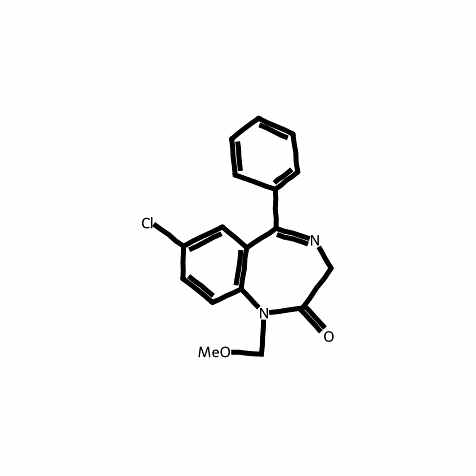 COCN1C(=O)CN=C(c2ccccc2)c2cc(Cl)ccc21